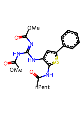 CCCCCC(=O)Nc1sc(-c2ccccc2)cc1NC(=NC(=O)OC)NC(=O)OC